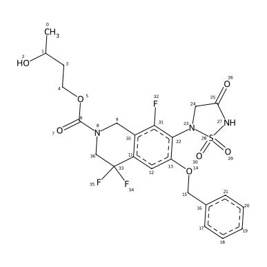 CC(O)CCOC(=O)N1Cc2c(cc(OCc3ccccc3)c(N3CC(=O)NS3(=O)=O)c2F)C(F)(F)C1